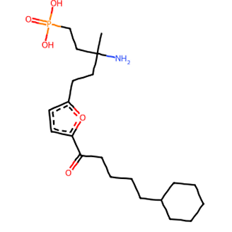 CC(N)(CCc1ccc(C(=O)CCCCC2CCCCC2)o1)CCP(=O)(O)O